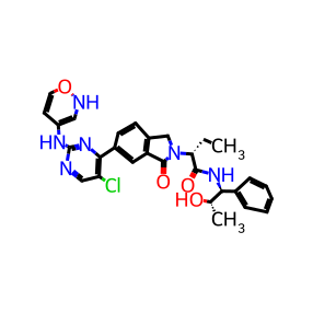 CC[C@H](C(=O)N[C@@H](c1ccccc1)[C@H](C)O)N1Cc2ccc(-c3nc(NC4=CNOC=C4)ncc3Cl)cc2C1=O